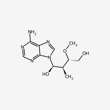 CO[C@H](CO)[C@@H](C)[C@@H](O)n1cnc2c(N)ncnc21